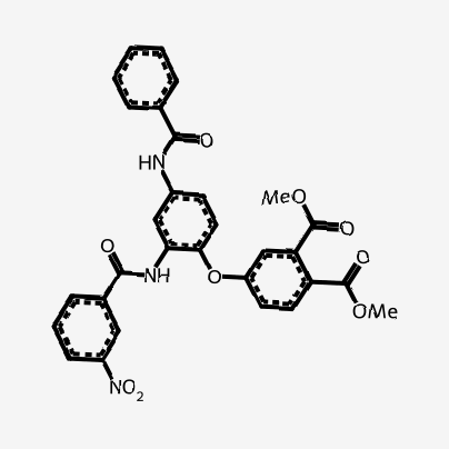 COC(=O)c1ccc(Oc2ccc(NC(=O)c3ccccc3)cc2NC(=O)c2cccc([N+](=O)[O-])c2)cc1C(=O)OC